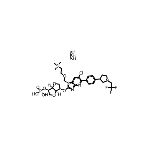 C[Si](C)(C)CCOCn1c(O[C@@H]2CO[C@@H]3[C@@H]2OC[C@H]3OP(=O)(O)O)nc2nc(-c3ccc(C4CCN(CC(F)(F)F)C4)cc3)c(Cl)cc21.[KH].[KH].[KH]